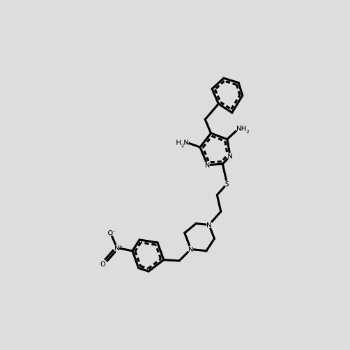 Nc1nc(SCCN2CCN(Cc3ccc([N+](=O)[O-])cc3)CC2)nc(N)c1Cc1ccccc1